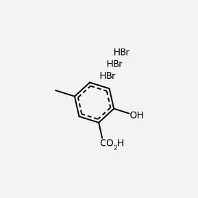 Br.Br.Br.Cc1ccc(O)c(C(=O)O)c1